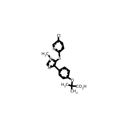 Cn1cnc(-c2ccc(OC(C)(C)C(=O)O)cc2)c1Sc1ccc(Cl)cn1